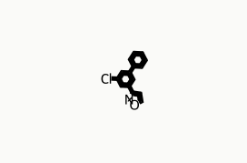 Clc1cc(-c2ccccc2)cc(-c2ccon2)c1